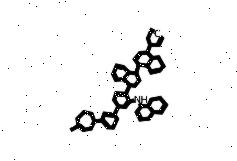 CC1=CCC(C2=CCCC(C3C=C(NC4C=CCC5C=CCCC54)C(C4CCC(C5C=CC(C6C=CCCC6)C6CCC=CC56)C5C=CC=CC45)=CC3)=C2)CCC1